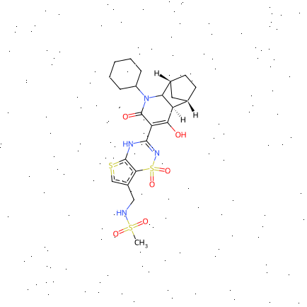 CS(=O)(=O)NCc1csc2c1S(=O)(=O)N=C(C1=C(O)[C@H]3C([C@@H]4CC[C@H]3C4)N(C3CCCCC3)C1=O)N2